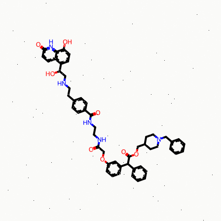 O=C(COc1cccc(C(C(=O)OCC2CCN(Cc3ccccc3)CC2)c2ccccc2)c1)NCCNC(=O)c1ccc(CCNCC(O)c2ccc(O)c3[nH]c(=O)ccc23)cc1